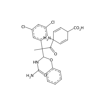 CC(C(=O)C1(N)C=CC(C(=O)O)C=C1)(c1cc(Cl)cc(Cl)c1)C(NC(N)=O)Oc1ccccc1